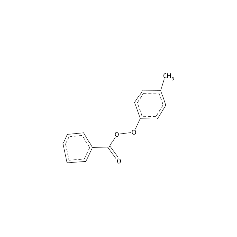 Cc1ccc(OOC(=O)c2ccccc2)cc1